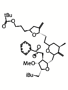 C=C1C(C[C@@H]2O[C@H](C[C@H](C)CC)[C@H](OC)[C@H]2CS(=O)(=O)c2ccccc2)OC(CC[C@@H]2O[C@@H](CCCOC(=O)C(C)(C)C)CC2=C)C[C@H]1C